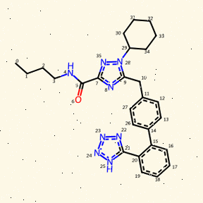 CCCCNC(=O)c1nc(Cc2ccc(-c3ccccc3-c3nnn[nH]3)cc2)n(C2CCCCC2)n1